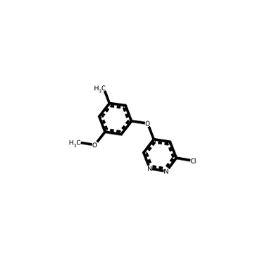 COc1cc(C)cc(Oc2cnnc(Cl)c2)c1